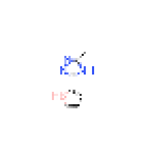 Cc1nnc(C2=CC=CB2)[nH]1